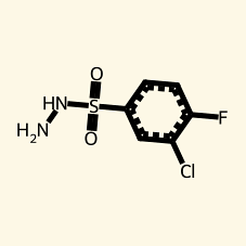 NNS(=O)(=O)c1ccc(F)c(Cl)c1